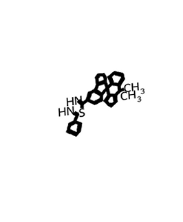 CC1(C)c2ccccc2C2(C3=C(C=CCC3)c3cc(C(=N)SC(=N)c4ccccc4)ccc32)c2ccccc21